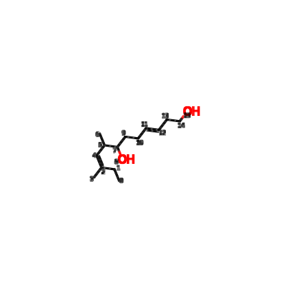 CC/C(C)=C\C(C)C(O)CCC=CCCO